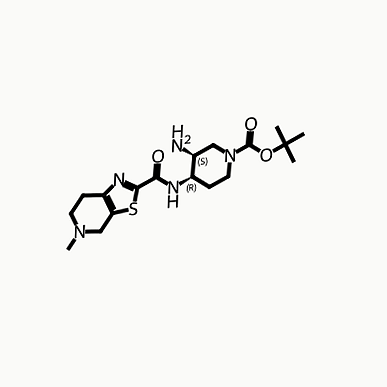 CN1CCc2nc(C(=O)N[C@@H]3CCN(C(=O)OC(C)(C)C)C[C@@H]3N)sc2C1